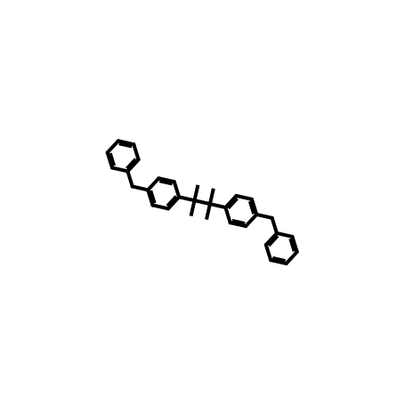 CC(C)(c1ccc(Cc2ccccc2)cc1)C(C)(C)c1ccc(Cc2ccccc2)cc1